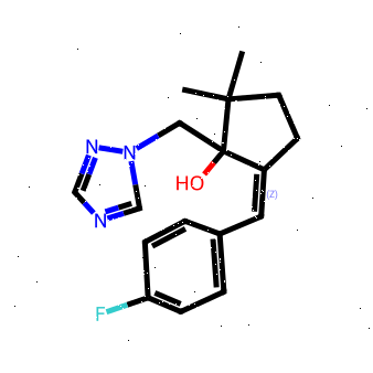 CC1(C)CC/C(=C/c2ccc(F)cc2)C1(O)Cn1cncn1